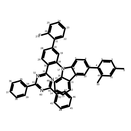 Cc1ccc(-c2ccc3c(c2)c2ccccc2n3-c2cc(-c3ccccc3F)ccc2-c2nc(-c3ccccc3)nc(-c3ccccc3)n2)c(C)c1